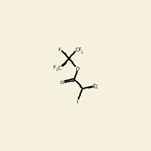 CCC(I)C(=O)OC(F)(C(F)(F)F)C(F)(F)F